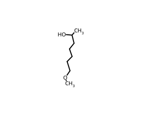 COCCCCCC(C)O